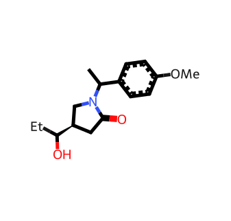 CCC(O)[C@@H]1CC(=O)N(C(C)c2ccc(OC)cc2)C1